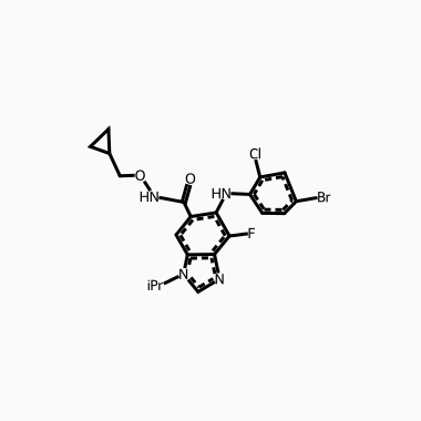 CC(C)n1cnc2c(F)c(Nc3ccc(Br)cc3Cl)c(C(=O)NOCC3CC3)cc21